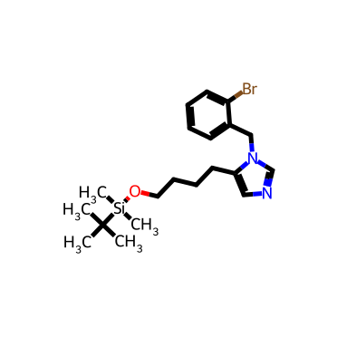 CC(C)(C)[Si](C)(C)OCCCCc1cncn1Cc1ccccc1Br